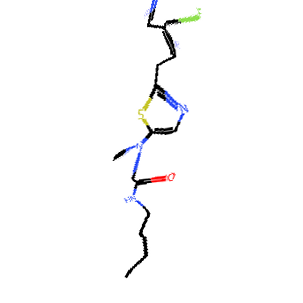 CCCCNC(=O)N(C)c1cnc(C/C=C(F)\C=N/C)s1